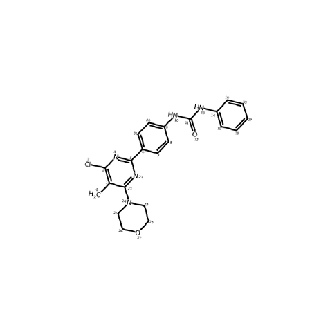 Cc1c(Cl)nc(-c2ccc(NC(=O)Nc3ccccc3)cc2)nc1N1CCOCC1